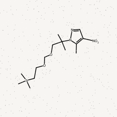 Cc1c([N+](=O)[O-])cnn1C(C)(C)COCOCC[Si](C)(C)C